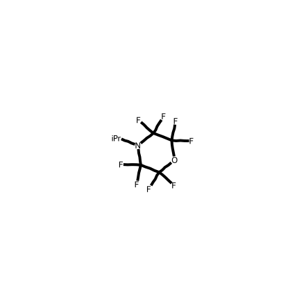 CC(C)N1C(F)(F)C(F)(F)OC(F)(F)C1(F)F